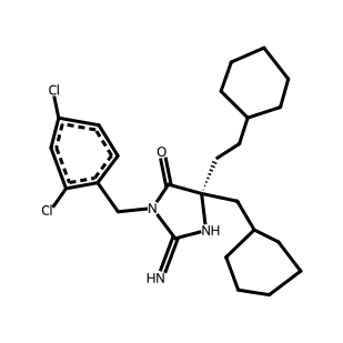 N=C1N[C@](CCC2CCCCC2)(CC2CCCCC2)C(=O)N1Cc1ccc(Cl)cc1Cl